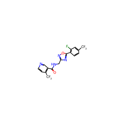 O=C(NCc1noc(-c2ccc(C(F)(F)F)cc2F)n1)c1cnccc1C(F)(F)F